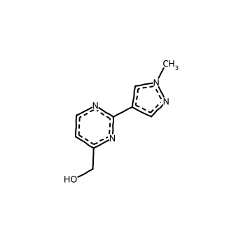 Cn1cc(-c2nccc(CO)n2)cn1